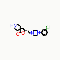 O=C1O[C@@H](CCN2CCN(c3cccc(Cl)c3)CC2)CC12CCNCC2